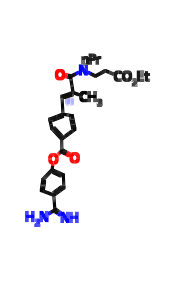 CCCN(CCC(=O)OCC)C(=O)/C(C)=C/c1ccc(C(=O)Oc2ccc(C(=N)N)cc2)cc1